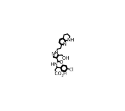 O=C(O)CC(NC(=O)c1cnn(CCc2ccc3c(n2)NCCC3)c1CO)c1ccc(Cl)cc1